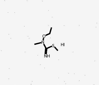 CCON(C)C(=N)SC.I